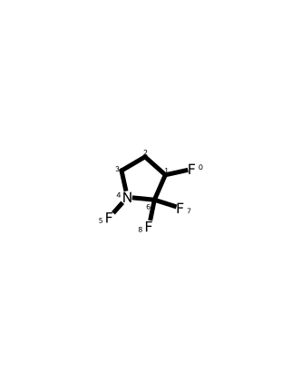 FC1CCN(F)C1(F)F